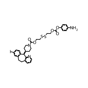 Nc1ccc(OC(=O)OCCSSCCOC(=O)N2CCC(=C3c4ccc(I)cc4CCc4cccnc43)CC2)cc1